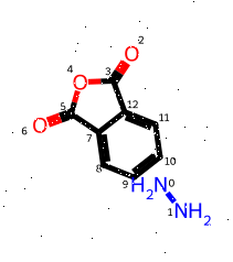 NN.O=C1OC(=O)c2ccccc21